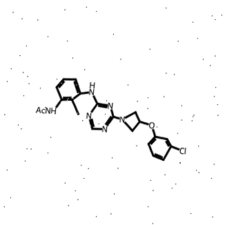 CC(=O)Nc1cccc(Nc2ncnc(N3CC(Oc4cccc(Cl)c4)C3)n2)c1C